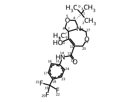 CC(C)(C)[C@H]1OC[C@]2(C)C(O)=C(C(=O)Nc3ccc(C(F)(F)F)cc3)COCN12